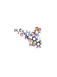 C=CC(=O)N1CCN2C(=O)c3c(N4CCS(=O)(=O)CC4)nc(-c4c(O)cccc4F)c(Cl)c3OC[C@H]2C1